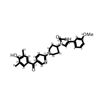 COc1cccc(-c2cn(C3CCN(c4ccc(C(=O)c5cc(C)c(O)c(C)c5)cn4)CC3)c(=O)[nH]2)c1